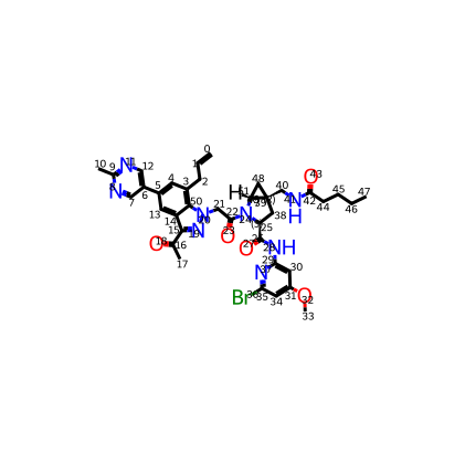 C=CCc1cc(-c2cnc(C)nc2)cc2c(C(C)=O)nn(CC(=O)N3[C@H](C(=O)Nc4cc(OC)cc(Br)n4)C[C@@]4(CNC(=O)CCCC)C[C@@H]34)c12